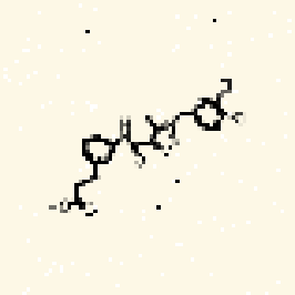 Cc1c(C(=O)Nc2cccc(CCC(=O)O)c2)nnn1Cc1ccc(Cl)c(Cl)c1